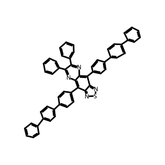 c1ccc(-c2ccc(-c3ccc(-c4c5nsnc5c(-c5ccc(-c6ccc(-c7ccccc7)cc6)cc5)c5nc(-c6ccccc6)c(-c6ccccc6)nc45)cc3)cc2)cc1